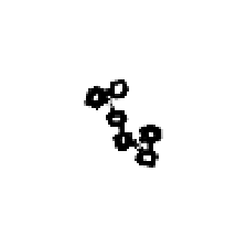 C1=Cc2c(c3ccccc3n2-c2ccc(-c3cccc(-n4c5ccccc5c5ccccc54)c3)cc2)CC1